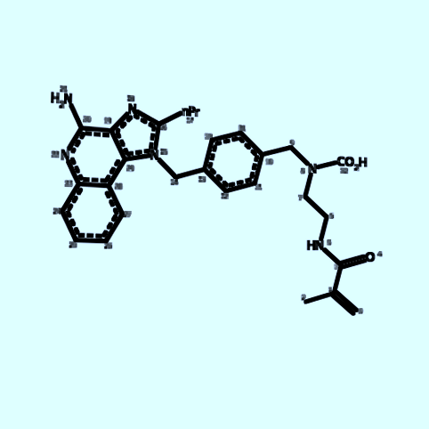 C=C(C)C(=O)NCCN(Cc1ccc(Cn2c(CCC)nc3c(N)nc4ccccc4c32)cc1)C(=O)O